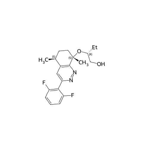 CC[C@H](CO)O[C@@]1(C)CC[C@H](C)c2cc(-c3c(F)cccc3F)nnc21